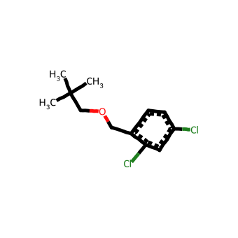 CC(C)(C)COCc1ccc(Cl)cc1Cl